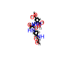 COC(=O)c1ccc(C(=O)OC)c(N/N=C(/C(C)=O)C(=O)Nc2ccc(NC(=O)CC(C)=O)cc2)c1